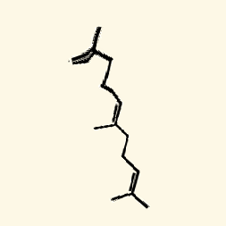 [CH]=C(C)CC/C=C(\C)CCC=C(C)C